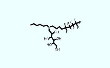 CCCCCCN(CCCCC(F)(F)C(F)(F)C(F)(F)C(F)(F)F)CC(O)C(O)C(O)C(O)CO